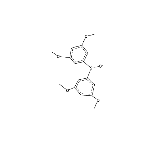 COc1cc(OC)cc([S+]([O-])c2cc(OC)cc(OC)c2)c1